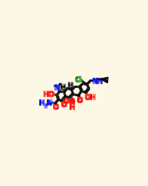 CN(C)[C@@H]1C(O)=C(C(N)=O)C(=O)[C@@]2(O)C(O)=C3C(=O)c4c(O)cc(CNCC5CC5)c(Cl)c4C[C@H]3C[C@@H]12